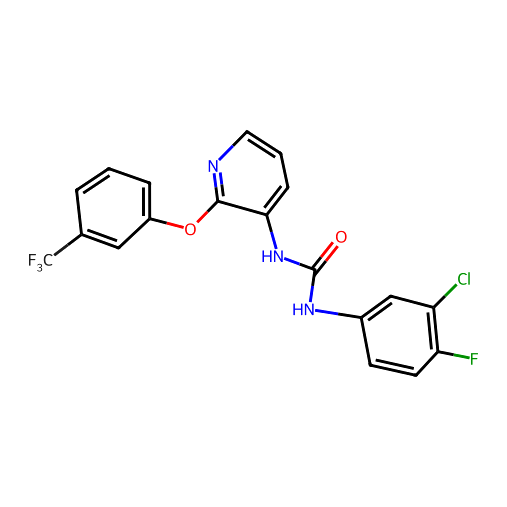 O=C(Nc1ccc(F)c(Cl)c1)Nc1cccnc1Oc1cccc(C(F)(F)F)c1